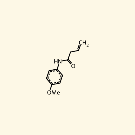 C=CCC(=O)Nc1ccc(OC)cc1